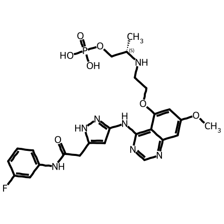 COc1cc(OCCN[C@@H](C)COP(=O)(O)O)c2c(Nc3cc(CC(=O)Nc4cccc(F)c4)[nH]n3)ncnc2c1